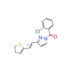 O=C(c1ccccc1Cl)n1ccc(/C=C/C2=CCCS2)n1